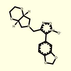 [O-][n+]1onc(CN2C[C@@H]3OCCO[C@@H]3C2)c1-c1ccc2c(c1)OCO2